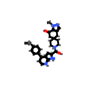 CC(C)n1ncc2c1C(=O)CC1(CCN(C(=O)c3cc4c(-c5ccc(C(=O)O)cc5)ccnc4[nH]3)CC1)C2